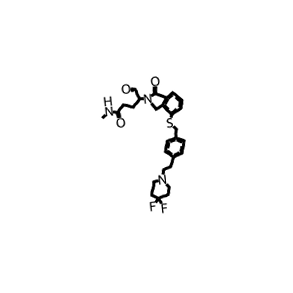 CNC(=O)CCC(C=O)N1Cc2c(SCc3ccc(CCN4CCC(F)(F)CC4)cc3)cccc2C1=O